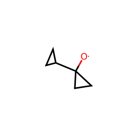 [O]C1(C2CC2)CC1